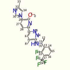 COc1nc(-c2cc(C)c(N[C@@H](C)c3cccc(C(F)(F)F)c3F)nn2)ccc1-n1cnc(C)c1